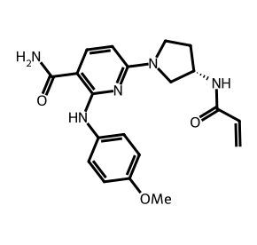 C=CC(=O)N[C@H]1CCN(c2ccc(C(N)=O)c(Nc3ccc(OC)cc3)n2)C1